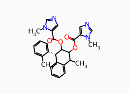 Cc1ccccc1[C@H]1c2ccccc2C(C)C(OC(=O)c2cncn2C)C1OC(=O)c1cncn1C